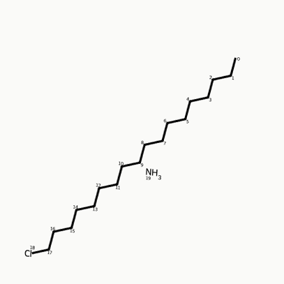 CCCCCCCCCCCCCCCCCCCl.N